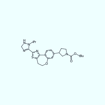 CC(C)N1NCN=C1c1nc2c(s1)CCOc1cc(C3CCN(C(=O)OC(C)(C)C)C3)ccc1-2